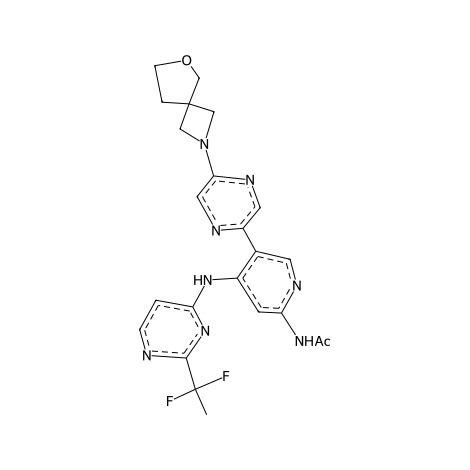 CC(=O)Nc1cc(Nc2ccnc(C(C)(F)F)n2)c(-c2cnc(N3CC4(CCOC4)C3)cn2)cn1